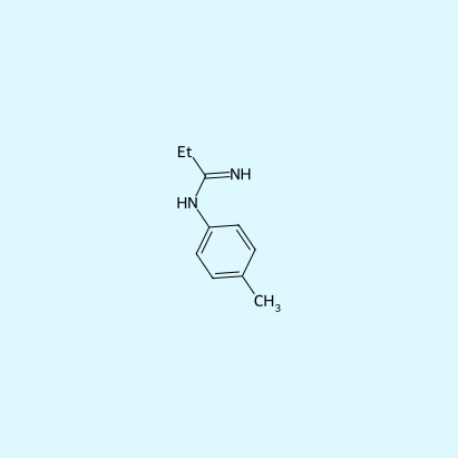 CCC(=N)Nc1ccc(C)cc1